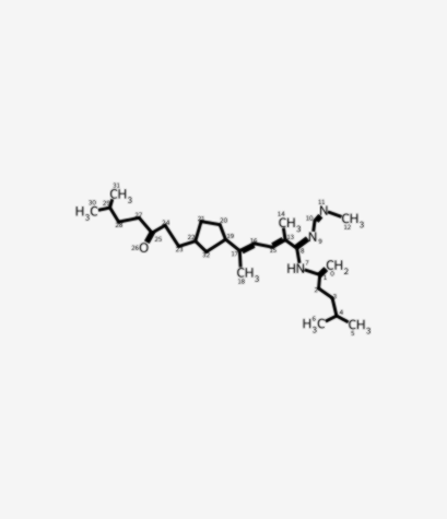 C=C(CCC(C)C)NC(=N/C=N\C)/C(C)=C/C=C(\C)C1CCC(CCC(=O)CCC(C)C)C1